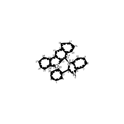 c1ccc(-c2nc3ccccc3n2-c2c3ccccc3cc3c2oc2ccccc23)cc1